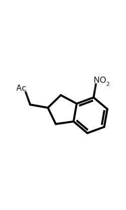 CC(=O)CC1Cc2cccc([N+](=O)[O-])c2C1